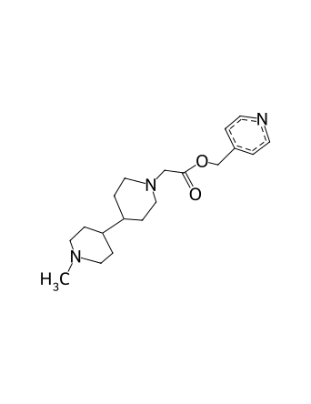 CN1CCC(C2CCN(CC(=O)OCc3ccncc3)CC2)CC1